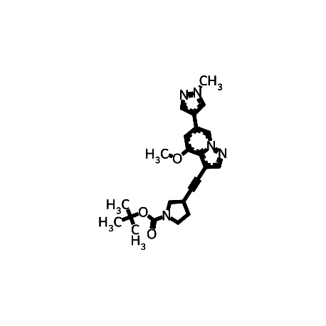 COc1cc(-c2cnn(C)c2)cn2ncc(C#CC3CCN(C(=O)OC(C)(C)C)C3)c12